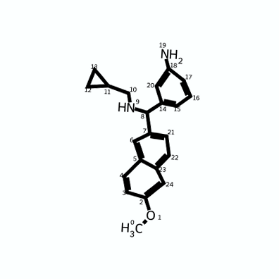 COc1ccc2cc(C(NCC3CC3)c3cccc(N)c3)ccc2c1